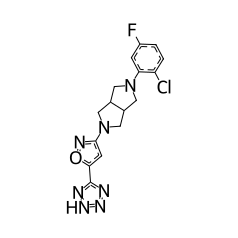 Fc1ccc(Cl)c(N2CC3CN(c4cc(-c5nn[nH]n5)on4)CC3C2)c1